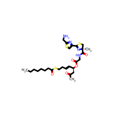 CCCCCCCC(=O)SCC/C=C/[C@H](CC(C)=O)OC(=O)CNC(=O)[C@]1(C)CSC(c2csc(CN)n2)=N1